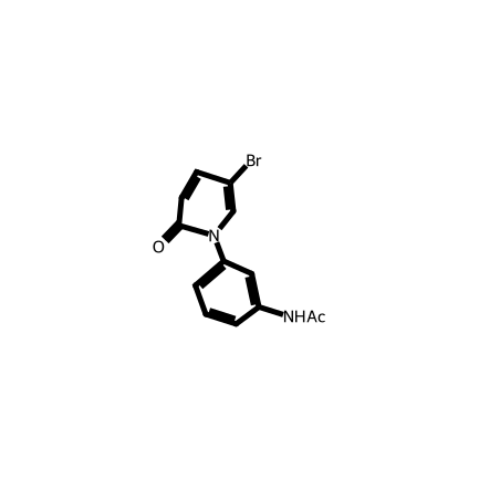 CC(=O)Nc1cccc(-n2cc(Br)ccc2=O)c1